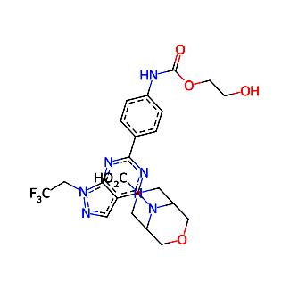 O=C(Nc1ccc(-c2nc(N3C4COCC3CN(C(=O)O)C4)c3cnn(CC(F)(F)F)c3n2)cc1)OCCO